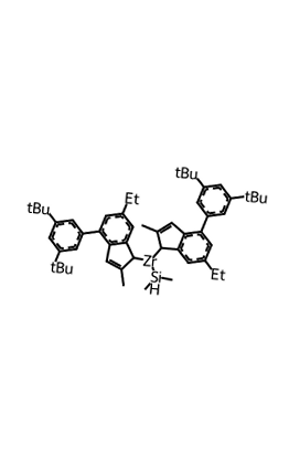 CCc1cc(-c2cc(C(C)(C)C)cc(C(C)(C)C)c2)c2c(c1)[CH]([Zr]([CH]1C(C)=Cc3c(-c4cc(C(C)(C)C)cc(C(C)(C)C)c4)cc(CC)cc31)[SiH](C)C)C(C)=C2